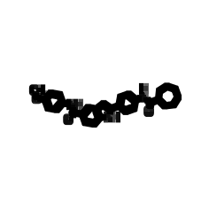 COc1ccc(NC(=O)c2ccc3[nH]c(-c4ccc(NC(=O)C5CCCCCC5)cc4)cc3c2)cc1